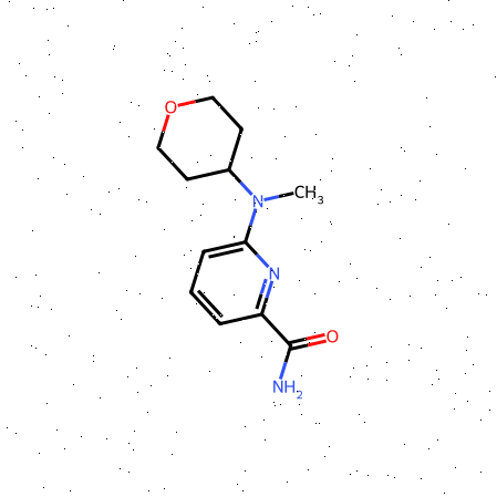 CN(c1cccc(C(N)=O)n1)C1CCOCC1